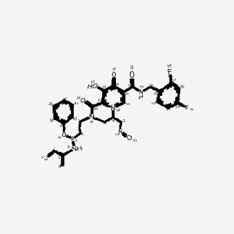 CC(C=O)NP(CCN1CC(CN=O)n2cc(C(=O)NCc3ccc(F)cc3F)c(=O)c(O)c2C1=O)Oc1ccccc1